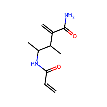 C=CC(=O)NC(C)C(C)C(=C)C(N)=O